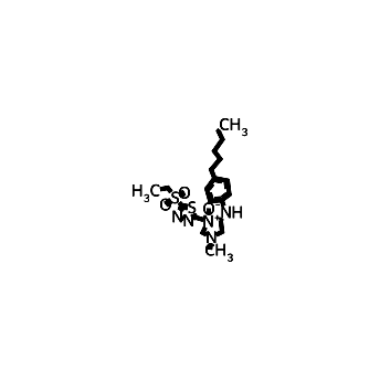 CCCCCCc1ccc(NC2CN(C)C[N+]2([O-])c2nnc(S(=O)(=O)CC)s2)cc1